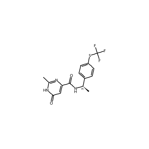 Cc1nc(C(=O)N[C@H](C)c2ccc(SC(F)(F)F)cc2)cc(=O)[nH]1